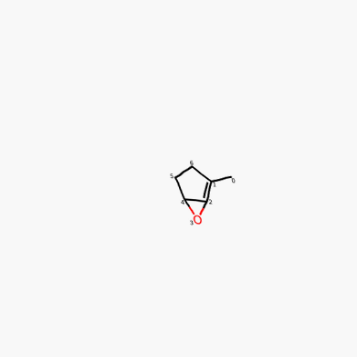 CC1=C2OC2CC1